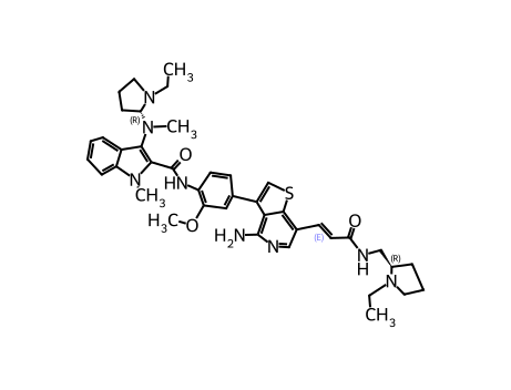 CCN1CCC[C@@H]1CNC(=O)/C=C/c1cnc(N)c2c(-c3ccc(NC(=O)c4c(N(C)[C@@H]5CCCN5CC)c5ccccc5n4C)c(OC)c3)csc12